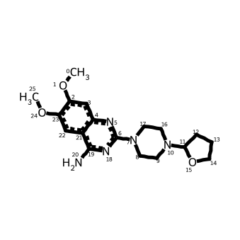 COc1cc2nc(N3CCN(C4CCCO4)CC3)nc(N)c2cc1OC